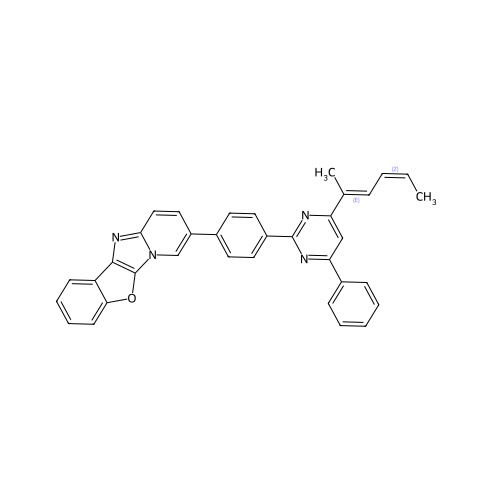 C/C=C\C=C(/C)c1cc(-c2ccccc2)nc(-c2ccc(-c3ccc4nc5c6ccccc6oc5n4c3)cc2)n1